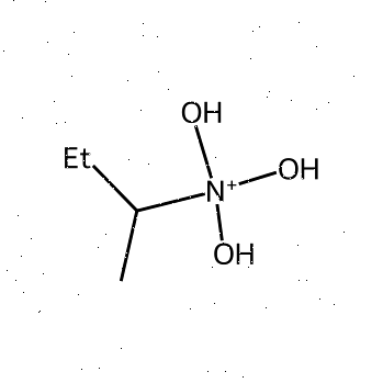 CCC(C)[N+](O)(O)O